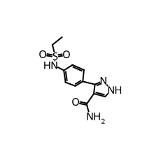 CCS(=O)(=O)Nc1ccc(-c2n[nH]cc2C(N)=O)cc1